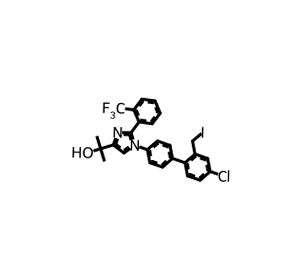 CC(C)(O)c1cn(-c2ccc(-c3ccc(Cl)cc3CI)cc2)c(-c2ccccc2C(F)(F)F)n1